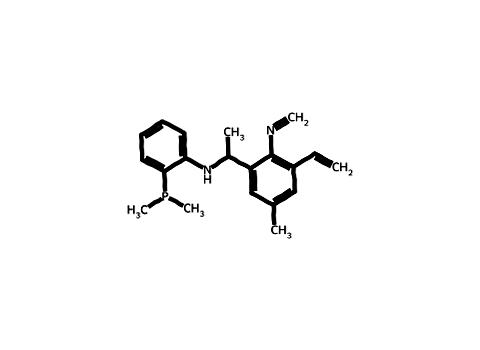 C=Cc1cc(C)cc(C(C)Nc2ccccc2P(C)C)c1N=C